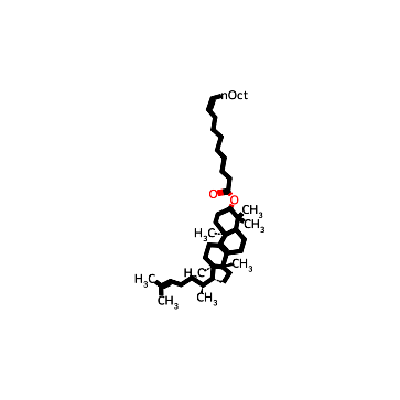 CCCCCCCC/C=C\CCCCCCCC(=O)OC1CC[C@]2(C)C3=C(CCC2C1(C)C)[C@]1(C)CC[C@H]([C@H](C)CCC=C(C)C)[C@@]1(C)CC3